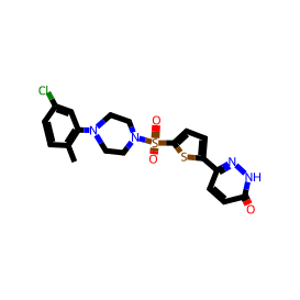 Cc1ccc(Cl)cc1N1CCN(S(=O)(=O)c2ccc(-c3ccc(=O)[nH]n3)s2)CC1